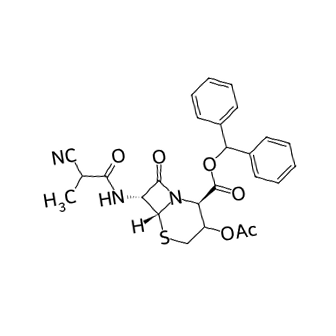 CC(=O)OC1CS[C@@H]2[C@H](NC(=O)C(C)C#N)C(=O)N2[C@H]1C(=O)OC(c1ccccc1)c1ccccc1